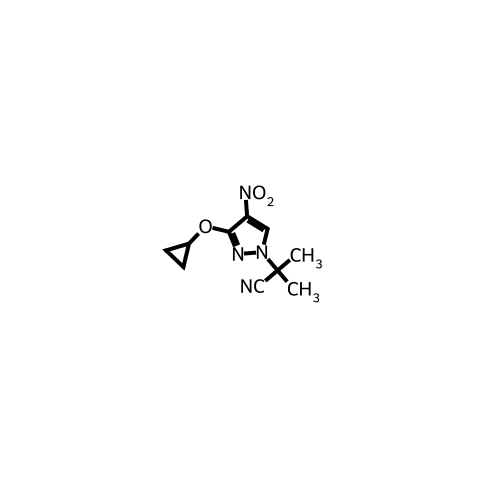 CC(C)(C#N)n1cc([N+](=O)[O-])c(OC2CC2)n1